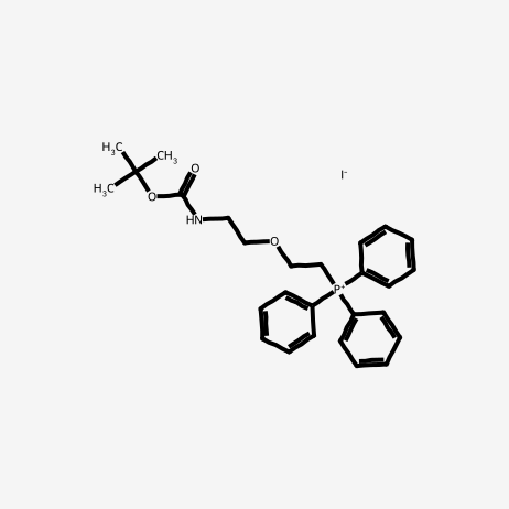 CC(C)(C)OC(=O)NCCOCC[P+](c1ccccc1)(c1ccccc1)c1ccccc1.[I-]